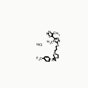 Cc1nnsc1-c1nnc(SCCCN2CC[C@]3(C[C@@H]3c3ccc(C(F)(F)F)cc3)C2)n1C.Cl